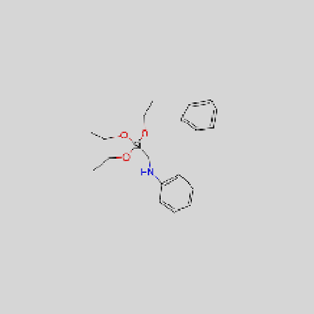 CCO[Si](CNc1ccccc1)(OCC)OCC.c1ccccc1